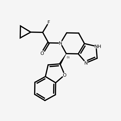 O=C(C(F)C1CC1)N1CCc2[nH]cnc2[C@H]1c1cc2ccccc2o1